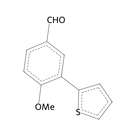 COc1ccc(C=O)cc1-c1cccs1